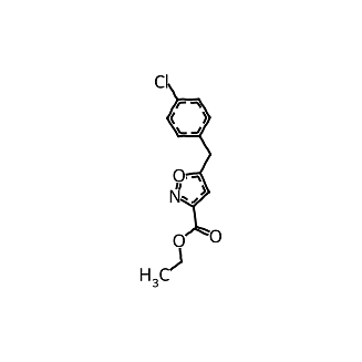 CCOC(=O)c1cc(Cc2ccc(Cl)cc2)on1